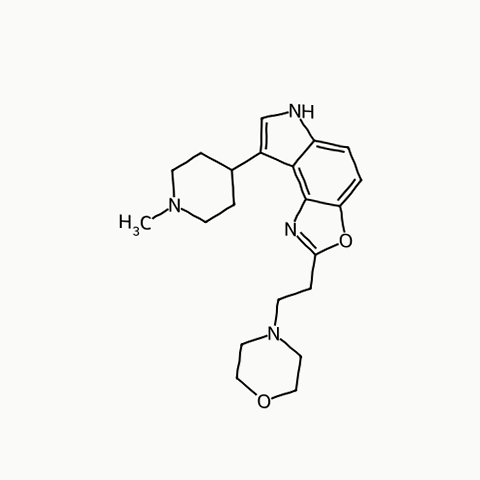 CN1CCC(c2c[nH]c3ccc4oc(CCN5CCOCC5)nc4c23)CC1